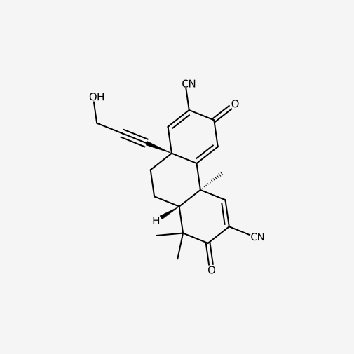 CC1(C)C(=O)C(C#N)=C[C@]2(C)C3=CC(=O)C(C#N)=C[C@@]3(C#CCO)CC[C@@H]12